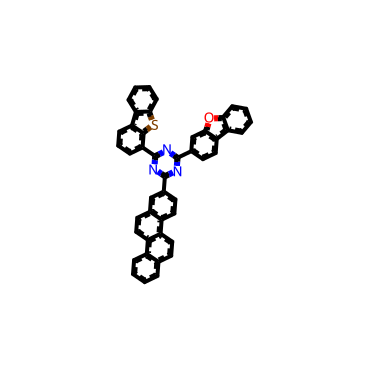 c1ccc2c(c1)ccc1c3ccc(-c4nc(-c5ccc6c(c5)oc5ccccc56)nc(-c5cccc6c5sc5ccccc56)n4)cc3ccc21